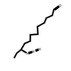 CCC(CCCCCCCCC=O)N=[N+]=[N-]